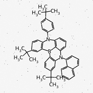 CC(C)(C)c1ccc(N2c3ccc(C(C)(C)C)cc3B3c4ccc(C(C)(C)C)cc4N(c4cccc5ccccc45)c4cccc2c43)cc1